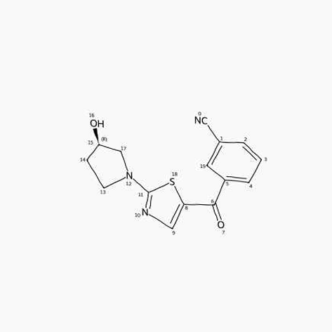 N#Cc1cccc(C(=O)c2cnc(N3CC[C@@H](O)C3)s2)c1